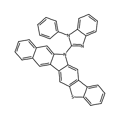 c1ccc(-n2c(-n3c4cc5ccccc5cc4c4cc5sc6ccccc6c5cc43)nc3ccccc32)cc1